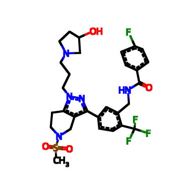 CS(=O)(=O)N1CCc2c(c(-c3ccc(C(F)(F)F)c(CNC(=O)c4ccc(F)cc4)c3)nn2CCCN2CCC(O)C2)C1